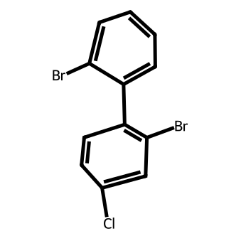 Clc1ccc(-c2ccccc2Br)c(Br)c1